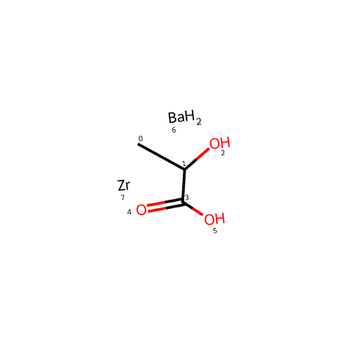 CC(O)C(=O)O.[BaH2].[Zr]